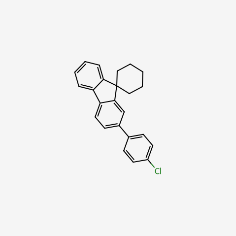 Clc1ccc(-c2ccc3c(c2)C2(CCCCC2)c2ccccc2-3)cc1